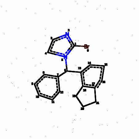 Brc1nccn1C(c1ccccc1)c1cccc2c1CCC2